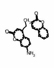 CCc1cc(=O)oc2cc(N)ccc12.O=c1ccc2ccccc2o1